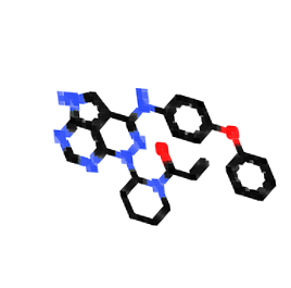 C=CC(=O)N1CCCCC1N1N=C(Nc2ccc(Oc3ccccc3)cc2)c2c[nH]c3ncnc1c23